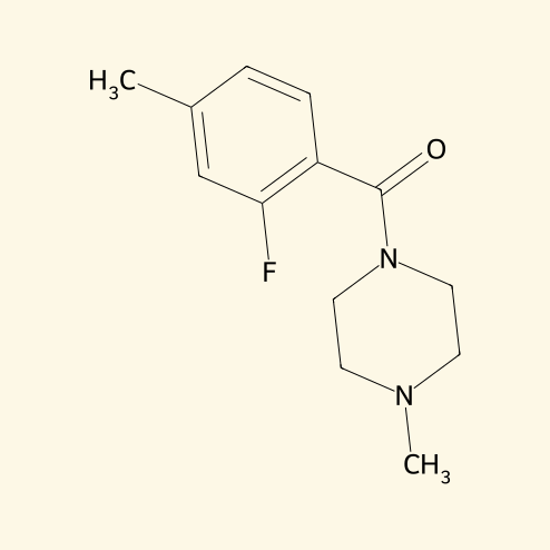 Cc1ccc(C(=O)N2CCN(C)CC2)c(F)c1